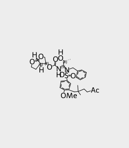 COc1ccc(S(=O)(=O)N(Cc2ccccc2)[C@H](NC(=O)O[C@H]2CO[C@H]3OCC[C@H]32)[C@@H](C)O)cc1CC(C)(C)CCC(C)=O